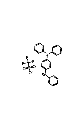 O=S(=O)([O-])C(F)(F)F.c1ccc([Se]c2ccc([S+](c3ccccc3)c3ccccc3)cc2)cc1